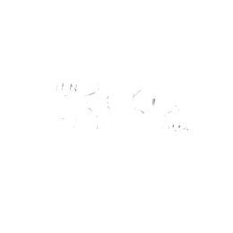 COC(=O)c1ccc(Cc2cc3c(c(N)c2C)C(C)(C)CCC3(C)C)cc1